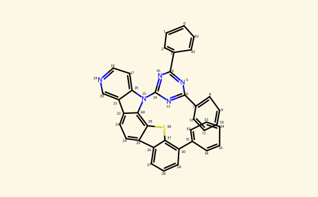 c1ccc(-c2nc(-c3ccccc3)nc(-n3c4ccncc4c4ccc5c6cccc(-c7ccccc7)c6sc5c43)n2)cc1